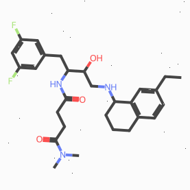 CCc1ccc2c(c1)C(NCC(O)C(Cc1cc(F)cc(F)c1)NC(=O)CCC(=O)N(C)C)CCC2